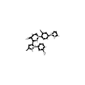 Cc1cc(-c2nn(-c3ccc(-n4cccn4)cc3C)ccc2=O)n(-c2cccc(Cl)c2)n1